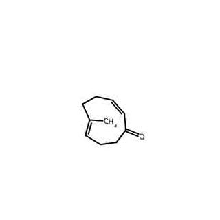 C/C1=C\CCC(=O)/C=C\CC1